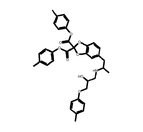 Cc1ccc(OCC(O)CNC(C)Cc2ccc3c(c2)OC(C(=O)Oc2ccc(C)cc2)(C(=O)Oc2ccc(C)cc2)O3)cc1